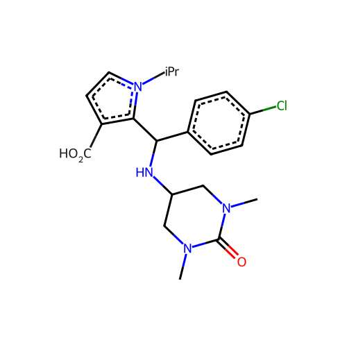 CC(C)n1ccc(C(=O)O)c1C(NC1CN(C)C(=O)N(C)C1)c1ccc(Cl)cc1